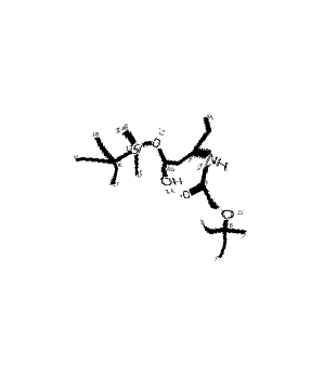 CC(NC(=O)OC(C)(C)C)C(O)O[Si](C)(C)C(C)(C)C